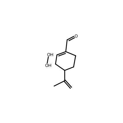 C=C(C)C1CC=C(C=O)CC1.OO